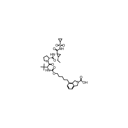 CC[C@@H]1C[C@]1(NC(=O)[C@@H]1CCCN1C(=O)[C@@H](NC(=O)OCCCCCc1cccc2c1CN(C(=O)O)C2)C(C)(C)C)C(=O)NS(=O)(=O)C1CC1